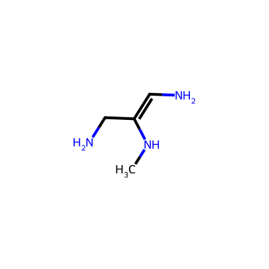 CN/C(=C\N)CN